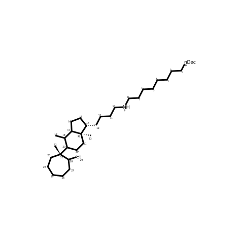 CCCCCCCCCCCCCCCCCCNCCCC[C@H]1CCC2C(C)C([C@@]3(C)CCCCCC3CC)CC[C@@]21C